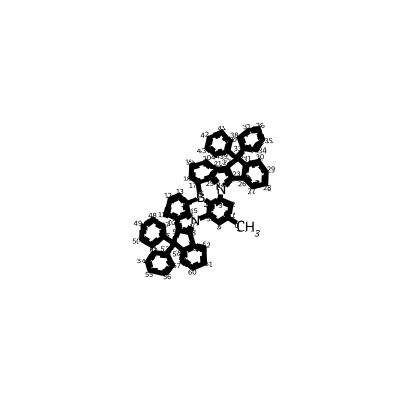 Cc1cc2c3c(c1)-n1c4c(c5cccc(c51)B3c1cccc3c5c(n-2c13)-c1ccccc1C5(c1ccccc1)c1ccccc1)C(c1ccccc1)(c1ccccc1)c1ccccc1-4